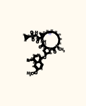 COc1ccc2c(OC3CC4C(=O)NC5(C(=O)NS(=O)(=O)C6CC6)CC5/C=C\CCCCN(C)C(=O)N4C3)ncc(Br)c2c1